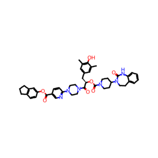 Cc1cc(C[C@@H](OC(=O)N2CCC(N3CCc4ccccc4NC3=O)CC2)C(=O)N2CCN(c3ccc(C(=O)Oc4ccc5c(c4)CCC5)cn3)CC2)cc(C)c1O